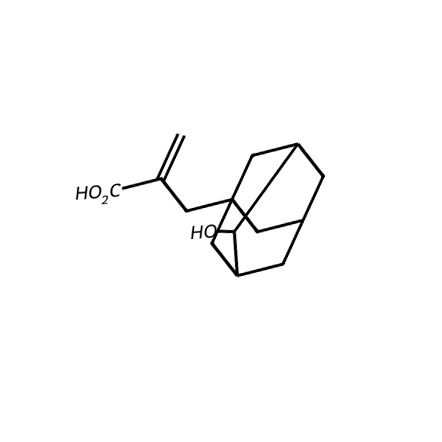 C=C(CC12CC3CC(C1)C(O)C(C3)C2)C(=O)O